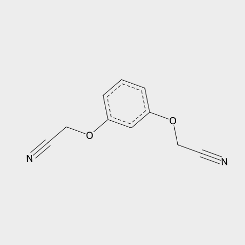 N#CCOc1cccc(OCC#N)c1